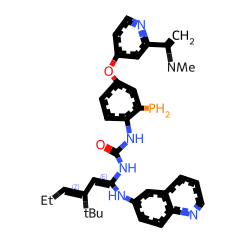 C=C(NC)c1cc(Oc2ccc(NC(=O)N/C(=C/C(=C/CC)C(C)(C)C)Nc3ccc4ncccc4c3)c(P)c2)ccn1